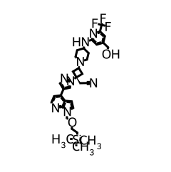 C[Si](C)(C)CCOCn1ccc2c(-c3cnn([C@]4(CC#N)C[C@@H](N5CCC(Nc6cc(CO)cc(C(F)(F)F)n6)CC5)C4)c3)ccnc21